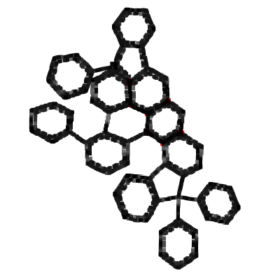 c1ccc(-c2ccccc2-c2c(-c3ccccc3)cccc2N(c2ccc3c4ccccc4n(-c4ccccc4)c3c2)c2cccc3c2-c2ccccc2C3(c2ccccc2)c2ccccc2)cc1